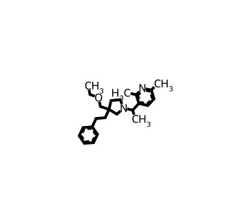 CCOCC1(CCc2ccccc2)CCN(C(C)c2ccc(C)nc2C)C1